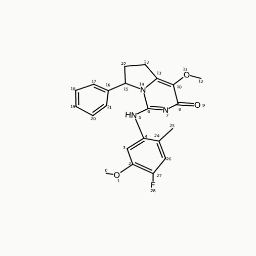 COc1cc(Nc2nc(=O)c(OC)c3n2C(c2ccccc2)CC3)c(C)cc1F